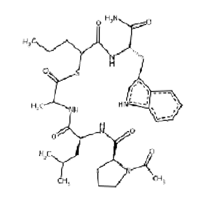 CCCC(SC(=O)C(C)NC(=O)[C@H](CC(C)C)NC(=O)[C@@H]1CCCN1C(C)=O)C(=O)N[C@@H](Cc1c[nH]c2ccccc12)C(N)=O